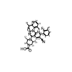 Cc1cccc(-c2nc3c(cc2C#N)c(N2[C@H](C)CN(C(=O)O)C[C@@H]2C)nc(=O)n3-c2c(C)ccnc2C(C)C)c1F